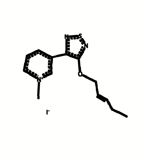 CCC=CCOc1nsnc1-c1ccc[n+](C)c1.[I-]